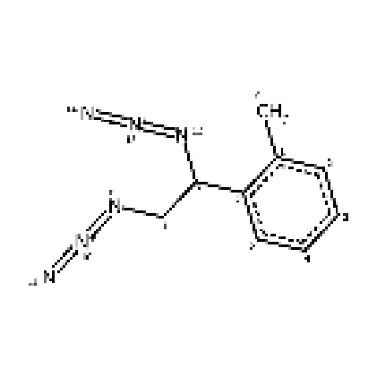 Cc1ccccc1C(CN=[N+]=[N-])N=[N+]=[N-]